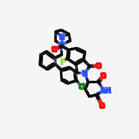 O=C1CCC(N2Cc3c(ccc(C(=O)N4C5CC4CN(Cc4ccccc4-c4ccc(Cl)cc4)C5)c3F)C2=O)C(=O)N1